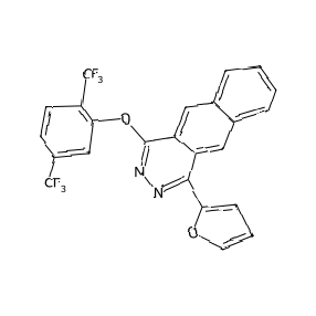 FC(F)(F)c1ccc(C(F)(F)F)c(Oc2nnc(-c3ccco3)c3cc4ccccc4cc23)c1